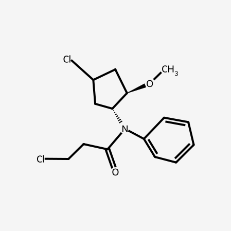 CO[C@@H]1CC(Cl)C[C@H]1N(C(=O)CCCl)c1ccccc1